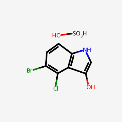 O=S(=O)(O)O.Oc1c[nH]c2ccc(Br)c(Cl)c12